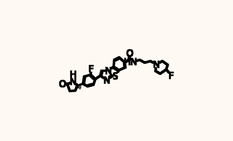 O=C1CC[C@H](c2ccc(-c3cn4c(n3)sc3cc(C(=O)NCCCN5CCC(F)CC5)ccc34)c(F)c2)N1